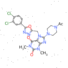 CC(=O)N1CCN(c2nc3c(c(=O)n(C)c(=O)n3C)n2Cc2nnc(-c3ccc(Cl)c(Cl)c3)o2)CC1